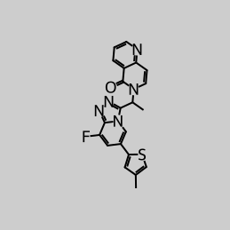 Cc1csc(-c2cc(F)c3nnc(C(C)n4ccc5ncccc5c4=O)n3c2)c1